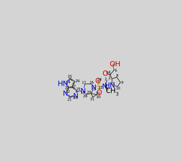 CN(C[C@]1(C(=O)CO)CCCN1)S(=O)(=O)N1CCN(c2ncnc3[nH]ccc23)CC12CC2